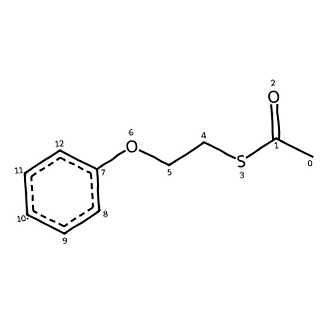 CC(=O)SCCOc1cc[c]cc1